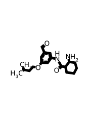 CC(C)CCOc1cc(C=O)cc(NC(=O)C2CCCCC2N)c1